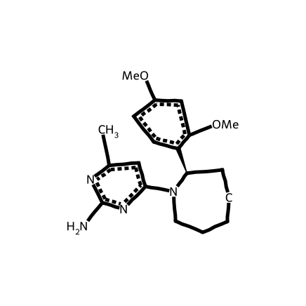 COc1ccc([C@H]2CCCCCN2c2cc(C)nc(N)n2)c(OC)c1